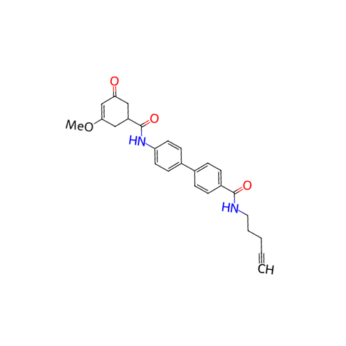 C#CCCCNC(=O)c1ccc(-c2ccc(NC(=O)C3CC(=O)C=C(OC)C3)cc2)cc1